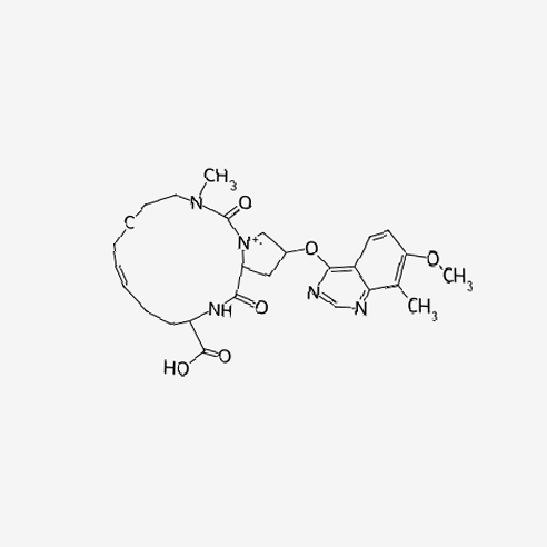 COc1ccc2c(OC3CC4C(=O)NC(C(=O)O)CCC=CCCCCN(C)C(=O)[N+]4C3)ncnc2c1C